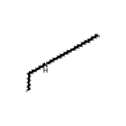 CCCCCCCC/C=C\CCCCCCCCNCCCCCCCCCCCCCCCCCCCCCCCCCCCCCC